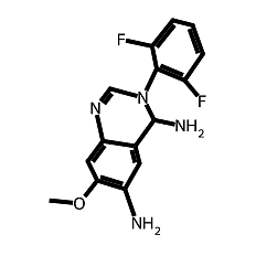 COc1cc2c(cc1N)C(N)N(c1c(F)cccc1F)C=N2